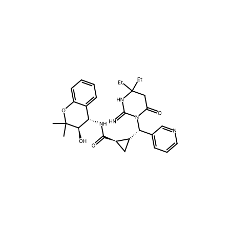 CCC1(CC)CC(=O)N([C@H](c2cccnc2)C2C[C@H]2C(=O)N[C@H]2c3ccccc3OC(C)(C)[C@@H]2O)C(=N)N1